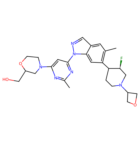 Cc1nc(N2CCOC(CO)C2)cc(-n2ncc3cc(C)c(C4CCN(C5COC5)C[C@@H]4F)cc32)n1